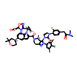 Cc1cc(-n2nc3c(c2N2C=CN(c4ccc(CC(=O)N(C)C)cc4F)C2=C=O)[C@H](C)N(C(=O)c2cc4cc([C@H]5CCOC(C)(C)C5)ccc4n2[C@@]2(C4=NOC(=C=O)N4)C[C@@H]2C)CC3)cc(C)c1F